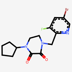 O=C1C(=O)N(C2CCCC2)CCN1Cc1ncc(Br)cc1F